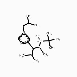 CC(C)Cn1cnc(C(C(C)C)N(C)[S@@+]([O-])C(C)(C)C)c1